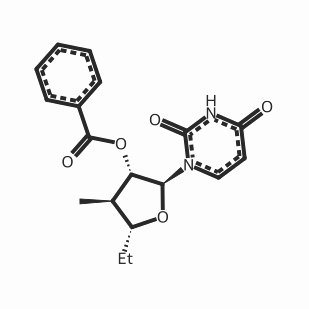 CC[C@H]1O[C@H](n2ccc(=O)[nH]c2=O)[C@@H](OC(=O)c2ccccc2)[C@@H]1C